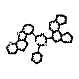 c1ccc(-c2nc(-c3cc4ccccc4c4c3ccc3ccccc34)nc(-c3cccc4oc5c(ccc6cccnc65)c34)n2)cc1